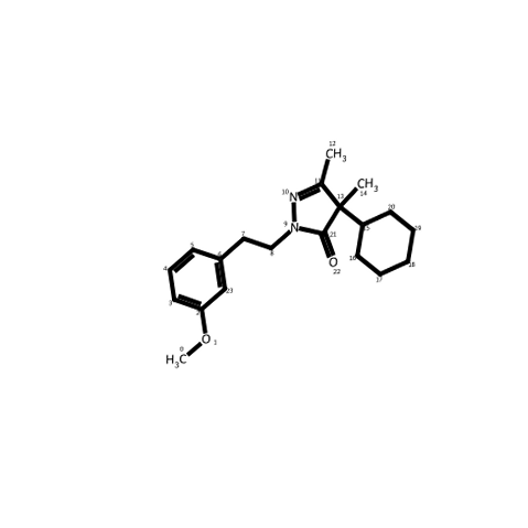 COc1cccc(CCN2N=C(C)C(C)(C3CCCCC3)C2=O)c1